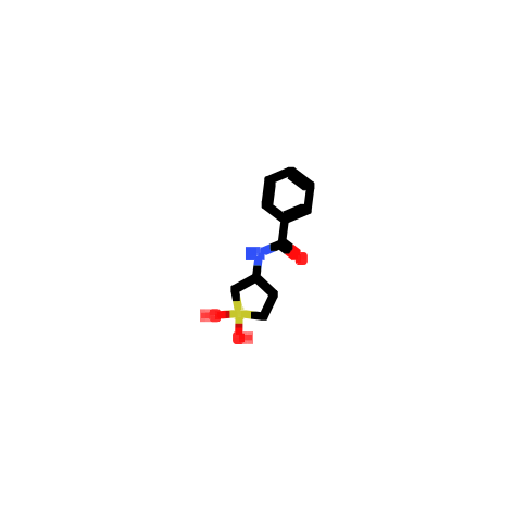 O=C(NC1CCS(O)(O)C1)c1ccccc1